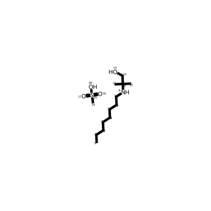 CCCCCCCCNC(C)(C)CO.CS(=O)(=O)O